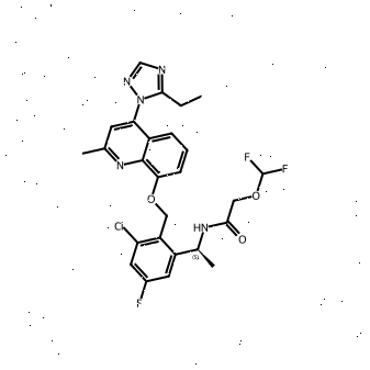 CCc1ncnn1-c1cc(C)nc2c(OCc3c(Cl)cc(F)cc3[C@H](C)NC(=O)COC(F)F)cccc12